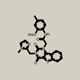 COc1cc(C)ccc1NC(=O)Cn1c(=O)n(Cc2nccn2C)c(=O)c2sc3ccccc3c21